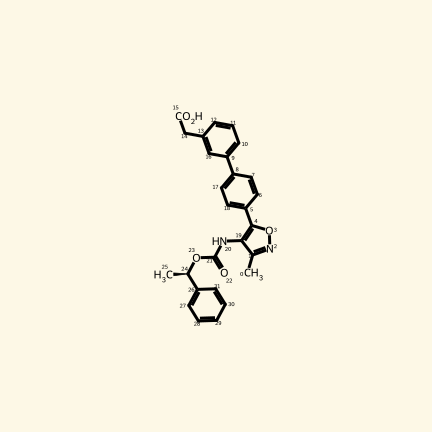 Cc1noc(-c2ccc(-c3cccc(CC(=O)O)c3)cc2)c1NC(=O)O[C@H](C)c1ccccc1